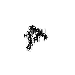 COC(=O)[C@H](CNC(=O)C(=O)Nc1ccc(-c2csc(N3CCOCC3)n2)cc1)NC(=O)c1ccc(Nc2nc(NC3(c4ccc(Cl)cc4)CC3)nc(OCC(F)(F)F)n2)cc1